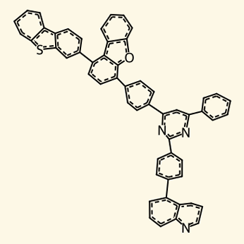 c1ccc(-c2cc(-c3ccc(-c4ccc(-c5ccc6c(c5)sc5ccccc56)c5c4oc4ccccc45)cc3)nc(-c3ccc(-c4cccc5ncccc45)cc3)n2)cc1